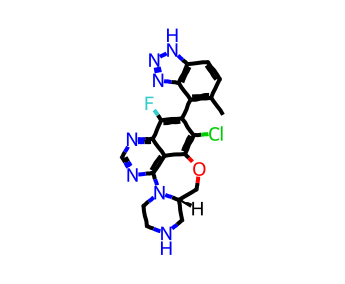 Cc1ccc2[nH]nnc2c1-c1c(Cl)c2c3c(ncnc3c1F)N1CCNC[C@H]1CO2